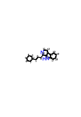 C(=Cc1ccccc1)Cc1nccc2c1[nH]c1ccccc12